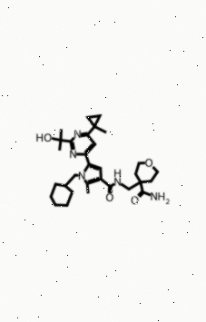 Cc1c(C(=O)NCC2(C(N)=O)CCOCC2)cc(-c2cc(C3(C)CC3)nc(C(C)(C)O)n2)n1CC1CCCCC1